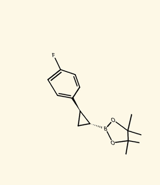 CC1(C)OB([C@@H]2C[C@H]2c2ccc(F)cc2)OC1(C)C